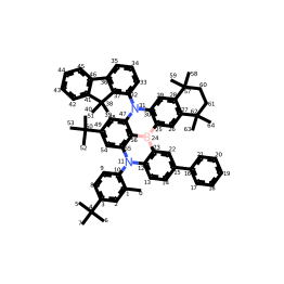 Cc1cc(C(C)(C)C)ccc1N1c2ccc(-c3ccccc3)cc2B2c3cc4c(cc3N(c3cccc5c3C(C)(C)c3ccccc3-5)c3cc(C(C)(C)C)cc1c32)C(C)(C)CCC4(C)C